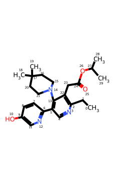 CCc1ncc(-c2ccc(O)cn2)c(N2CCC(C)(C)CC2)c1CC(=O)OC(C)C